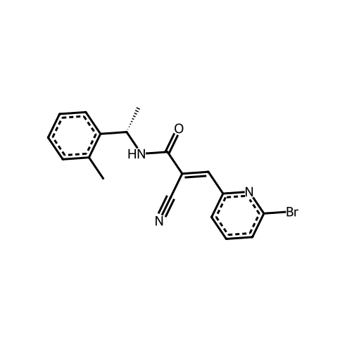 Cc1ccccc1[C@H](C)NC(=O)/C(C#N)=C/c1cccc(Br)n1